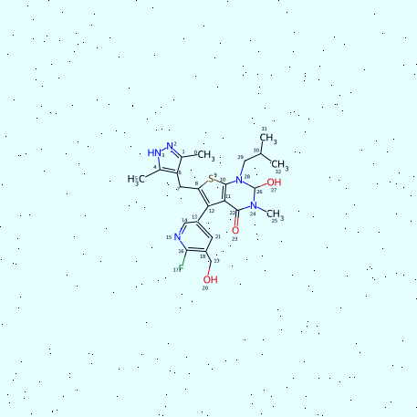 Cc1n[nH]c(C)c1Cc1sc2c(c1-c1cnc(F)c(CO)c1)C(=O)N(C)C(O)N2CC(C)C